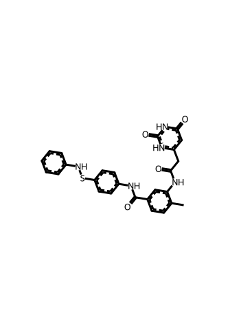 Cc1ccc(C(=O)Nc2ccc(SNc3ccccc3)cc2)cc1NC(=O)Cc1cc(=O)[nH]c(=O)[nH]1